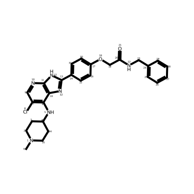 CN1CCC(Nc2c(Cl)cnc3[nH]c(-c4ccc(OCC(=O)NCc5ccccc5)cc4)nc23)CC1